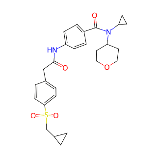 O=C(Cc1ccc(S(=O)(=O)CC2CC2)cc1)Nc1ccc(C(=O)N(C2CCOCC2)C2CC2)cc1